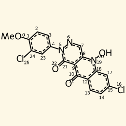 COc1ccc(-n2ncc3c(c(=O)c4ccc(Cl)cc4n3O)c2=O)cc1Cl